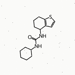 O=C(NC1CCCCC1)NC1CCCc2sccc21